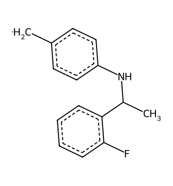 [CH2]c1ccc(NC(C)c2ccccc2F)cc1